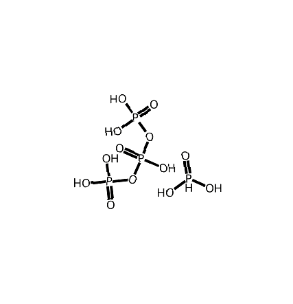 O=P(O)(O)OP(=O)(O)OP(=O)(O)O.O=[PH](O)O